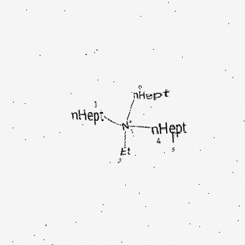 CCCCCCC[N+](CC)(CCCCCCC)CCCCCCC.[I-]